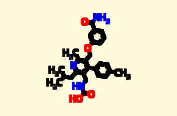 Cc1ccc(-c2c(COc3cccc(C(N)=O)c3)c(C)nc(CC(C)C)c2CNC(=O)O)cc1